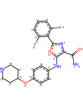 NC(=O)c1nc(-c2c(F)cccc2F)oc1Nc1ccc(OC2CCNCC2)cc1